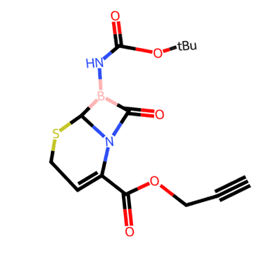 C#CCOC(=O)C1=CCSC2B(NC(=O)OC(C)(C)C)C(=O)N12